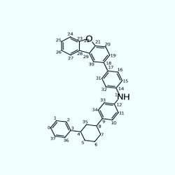 c1ccc(C2CCCC(c3ccc(Nc4ccc(-c5ccc6oc7ccccc7c6c5)cc4)cc3)C2)cc1